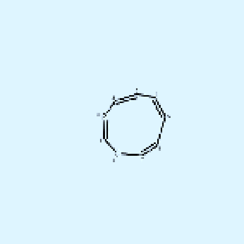 c1cccpcocc1